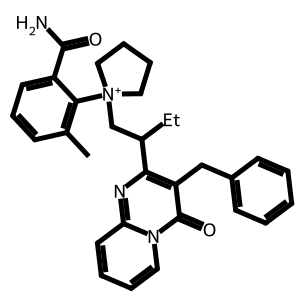 CCC(C[N+]1(c2c(C)cccc2C(N)=O)CCCC1)c1nc2ccccn2c(=O)c1Cc1ccccc1